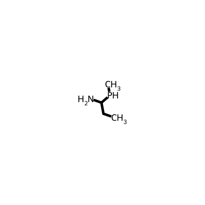 CCC(N)PC